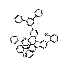 N#Cc1ccccc1-c1ccc2c3ccc(-c4ccccc4C#N)cc3n(-c3ccc(-c4nc(-c5ccccc5)nc(-c5ccccc5)n4)cc3-c3nc(-c4ccccc4)cc(-c4ccccc4)n3)c2c1